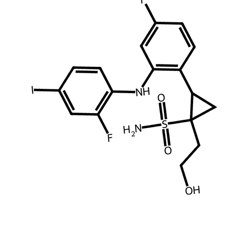 NS(=O)(=O)C1(CCO)CC1c1ccc(F)cc1Nc1ccc(I)cc1F